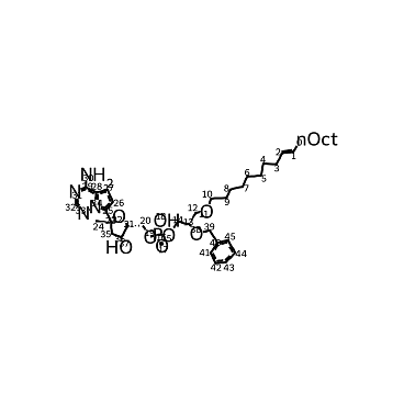 CCCCCCCC/C=C/CCCCCCCCOC[C@H](COP(=O)(O)OC[C@H]1O[C@@](C)(c2ccc3c(N)ncnn23)C[C@@H]1O)OCc1ccccc1